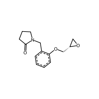 O=C1CCCN1Cc1ccccc1OC[C@@H]1CO1